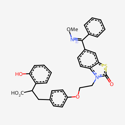 CO/N=C(\c1ccccc1)c1ccc2c(c1)sc(=O)n2CCOc1ccc(CC(C(=O)O)c2ccccc2O)cc1